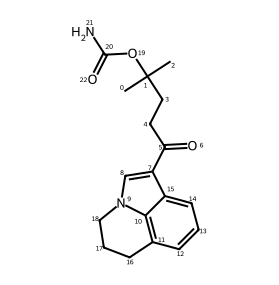 CC(C)(CCC(=O)c1cn2c3c(cccc13)CCC2)OC(N)=O